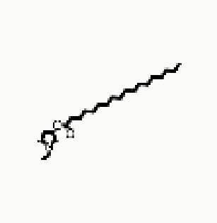 CCCCCCCCCCCCCCCCCC(=O)OC1C[CH]N(CC)C1